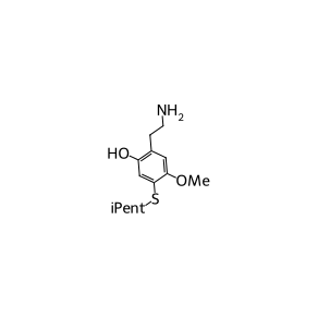 CCCC(C)Sc1cc(O)c(CCN)cc1OC